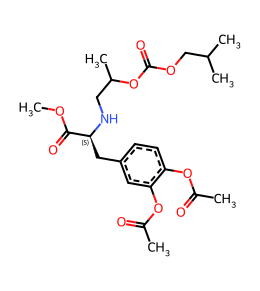 COC(=O)[C@H](Cc1ccc(OC(C)=O)c(OC(C)=O)c1)NCC(C)OC(=O)OCC(C)C